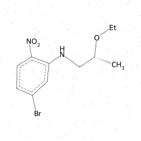 CCO[C@H](C)CNc1cc(Br)ccc1[N+](=O)[O-]